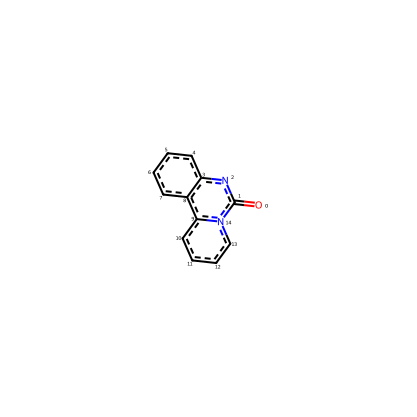 O=c1nc2ccccc2c2ccccn12